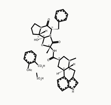 CC(=O)Oc1ccccc1C(=O)O.CN1C[C@H](C(=O)N[C@]2(C)O[C@@]3(O)[C@@H]4CCCN4C(=O)[C@H](Cc4ccccc4)N3C2=O)C[C@@H]2c3cccc4[nH]cc(c34)C[C@H]21.CS(=O)(=O)O